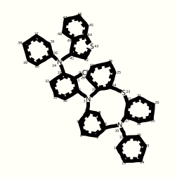 Clc1c(N2c3cccc(c3)N(c3ccccc3)c3ccccc3Sc3ccccc32)cccc1N(c1ccccc1)c1csc2ccccc12